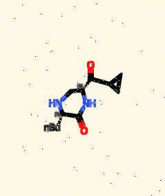 CCCC[C@@H]1NC[C@H](C(=O)C2CC2)NC1=O